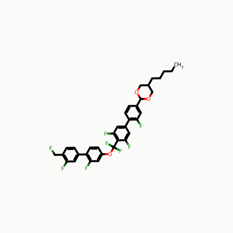 CCCCCC1COC(c2ccc(-c3cc(F)c(C(F)(F)Oc4ccc(-c5ccc(CF)c(F)c5)c(F)c4)c(F)c3)c(F)c2)OC1